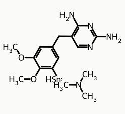 CN(C)C.COc1cc(Cc2cnc(N)nc2N)c[c]([SnH])c1OC